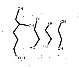 O=C(O)CCCC(O)CO.OCCO.OCCO.OCCO